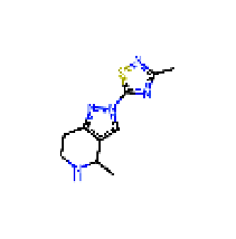 Cc1nsc(-n2cc3c(n2)CCNC3C)n1